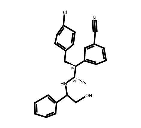 C[C@H](NC(CO)c1ccccc1)[C@@H](Cc1ccc(Cl)cc1)c1cccc(C#N)c1